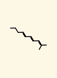 CCC/C=C/C=C/C=C(C)C